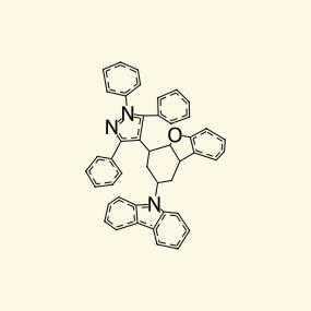 c1ccc(-c2nn(-c3ccccc3)c(-c3ccccc3)c2C2CC(n3c4ccccc4c4ccccc43)CC3c4ccccc4OC32)cc1